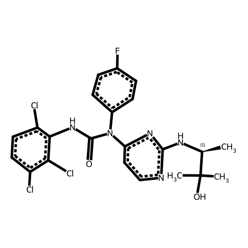 C[C@H](Nc1nccc(N(C(=O)Nc2c(Cl)ccc(Cl)c2Cl)c2ccc(F)cc2)n1)C(C)(C)O